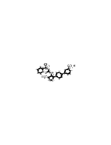 Cc1noc(-c2ccc(-c3cccc(C(=O)O)c3)cc2)c1NC(=O)O[C@H](C)c1ccccn1